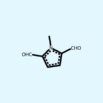 Cn1c(C=O)ccc1C=O